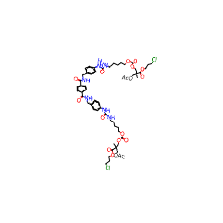 CC(=O)OCC(C)(COC(=O)OCCCCCNC(=O)Nc1ccc(CNC(=O)c2ccc(C(=O)NCc3ccc(NC(=O)NCCCCCOC(=O)OCC(C)(COC(C)=O)C(=O)OCCCCl)cc3)cc2)cc1)C(=O)OCCCCl